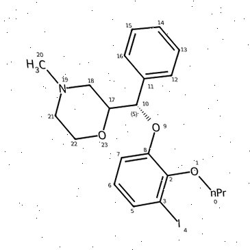 CCCOc1c(I)cccc1O[C@@H](c1ccccc1)C1CN(C)CCO1